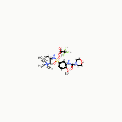 CCOc1ccc(S(=O)(=O)N[C@H](CC(=O)O)C[N+](C)(C)C)cc1NC(=O)N1CCOCC1.O=C([O-])C(F)(F)F